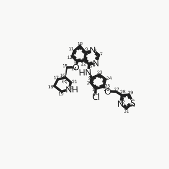 Clc1cc(Nc2ncnc3cccc(OC[C@@H]4CCCNC4)c23)ccc1OCc1cscn1